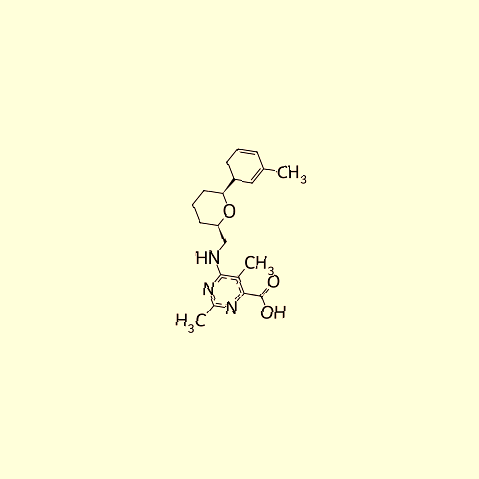 CC1=CC([C@@H]2CCC[C@H](CNc3nc(C)nc(C(=O)O)c3C)O2)CC=C1